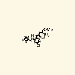 COCC(N)Cc1cc2c(NCc3ccco3)nc(Cl)nn2c1Cl